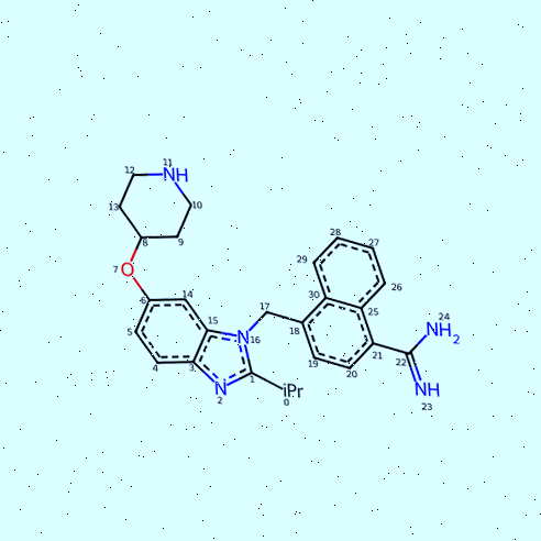 CC(C)c1nc2ccc(OC3CCNCC3)cc2n1Cc1ccc(C(=N)N)c2ccccc12